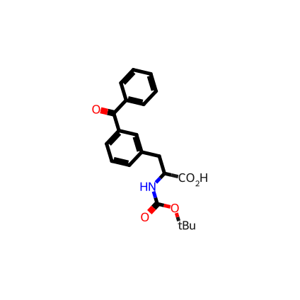 CC(C)(C)OC(=O)NC(Cc1cccc(C(=O)c2ccccc2)c1)C(=O)O